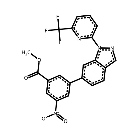 COC(=O)c1cc(-c2ccc3cnn(-c4cccc(C(F)(F)F)n4)c3c2)cc([N+](=O)[O-])c1